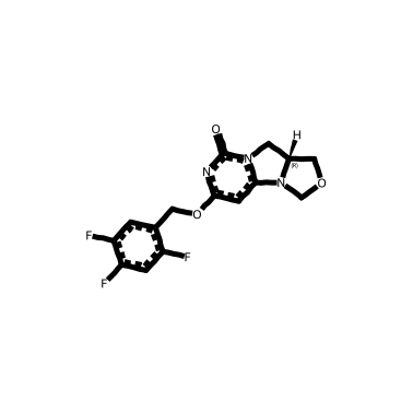 O=c1nc(OCc2cc(F)c(F)cc2F)cc2n1C[C@@H]1COCN21